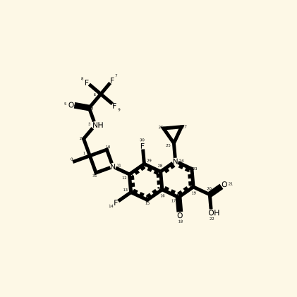 CC1(CNC(=O)C(F)(F)F)CN(c2c(F)cc3c(=O)c(C(=O)O)cn(C4CC4)c3c2F)C1